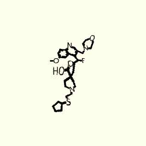 COc1ccc2ncc(CN3CCOCC3)c(C(F)CCC3(C(=O)O)CCN(CCSC4CCCC4)CC3)c2c1